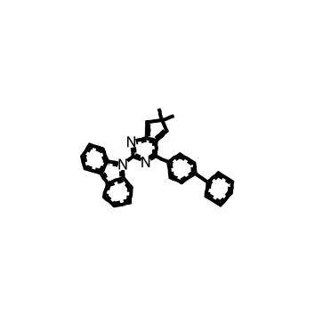 CC1(C)C=c2nc(-n3c4ccccc4c4ccccc43)nc(-c3ccc(-c4ccccc4)cc3)c2=C1